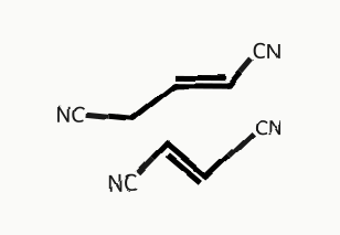 N#C/C=C/C#N.N#CC=CCC#N